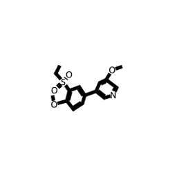 CCS(=O)(=O)c1cc(-c2cncc(OC)c2)ccc1OC